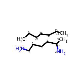 CC(N)CCCCN.CCCCCCC